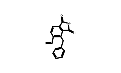 C=Cc1ccc2c(c1Cc1ccccc1)C(=O)NC2=O